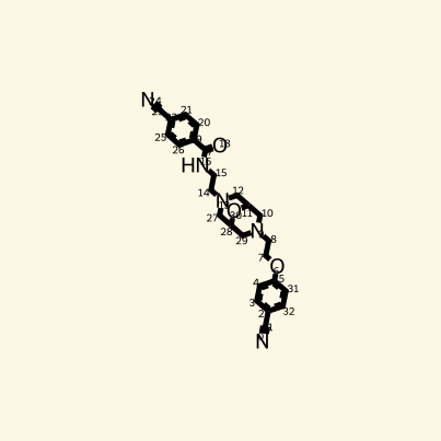 N#Cc1ccc(OCCN2CC3CN(CCNC(=O)c4ccc(C#N)cc4)CC(C2)O3)cc1